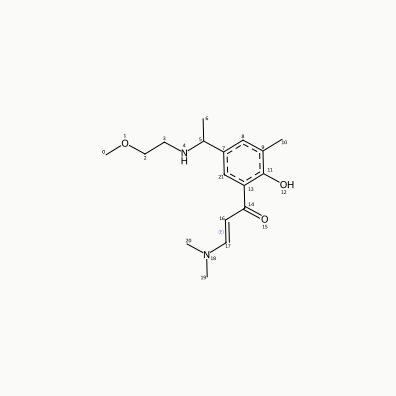 COCCNC(C)c1cc(C)c(O)c(C(=O)/C=C/N(C)C)c1